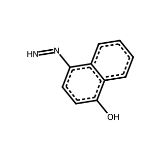 N=Nc1ccc(O)c2ccccc12